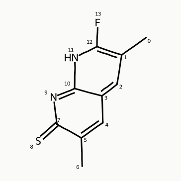 Cc1cc2cc(C)c(=S)nc-2[nH]c1F